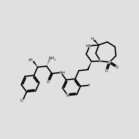 CC(C)[C@H](c1ccc(Cl)cc1)[C@H](N)C(=O)Nc1cncc(F)c1CC[C@H]1CN[C@@H]2CCCS(=O)(=O)N1C2